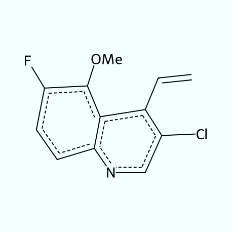 C=Cc1c(Cl)cnc2ccc(F)c(OC)c12